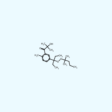 CCCC(C)(C)OOC(CC)(CC)c1ccc(C)c(C(=O)C(C)(C)O)c1